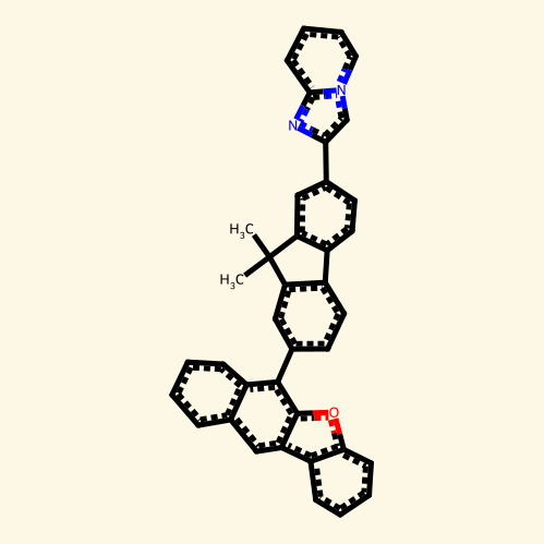 CC1(C)c2cc(-c3cn4ccccc4n3)ccc2-c2ccc(-c3c4ccccc4cc4c3oc3ccccc34)cc21